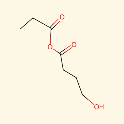 CCC(=O)OC(=O)CCCO